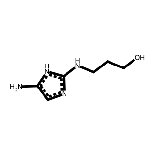 Nc1cnc(NCCCO)[nH]1